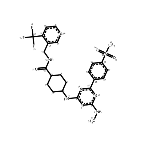 CNc1nc(NC2CCC(C(=O)NCc3cnccc3C(F)(F)F)CC2)nc(-c2ccc(S(C)(=O)=O)cc2)n1